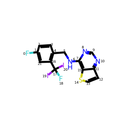 Fc1ccc(CNc2ncnc3ccsc23)c(C(F)(I)I)c1